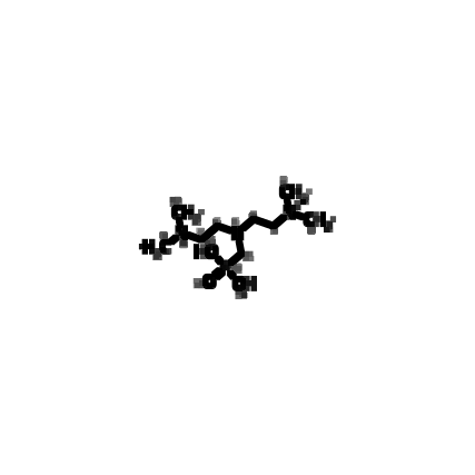 [CH2]N([CH2])CCN(CCN([CH2])[CH2])CP(=O)(O)O